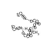 CC(CC(=O)OCn1c(=O)ccc2ccc(OCCCCN3CCN(c4cccc5sccc45)CC3)cc21)CC(C)C(=O)OCn1c(=O)ccc2ccc(OCCCCN3CCN(c4cccc5sccc45)CC3)cc21